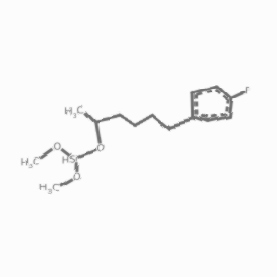 CO[SiH](OC)OC(C)CCCCc1ccc(F)cc1